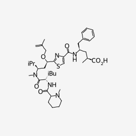 C=C(C)CO[C@H](C[C@H](C(C)C)N(C)C(=O)[C@@H](NC(=O)C1CCCCN1C)[C@@H](C)CC)c1nc(C(=O)N[C@@H](Cc2ccccc2)C[C@H](C)C(=O)O)cs1